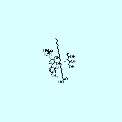 CCCCCCCCCCCCCCCCCC(=O)O.Nc1ccn([C@@H]2O[C@H](COP(=O)(O)O)[C@@H](O)[C@H]2O)c(=O)n1.O=CC(O)C(O)C(O)CO